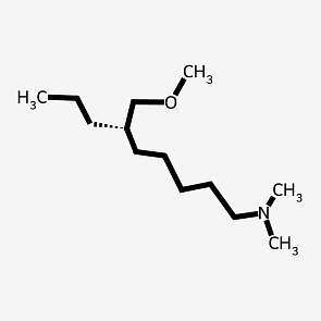 CCC[C@@H](CCCCCN(C)C)COC